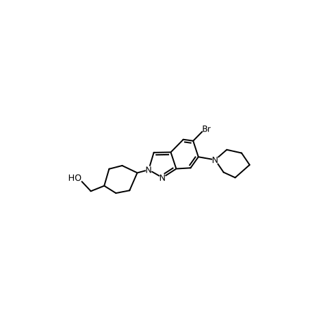 OCC1CCC(n2cc3cc(Br)c(N4CCCCC4)cc3n2)CC1